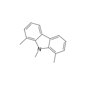 Cc1cccc2c3cccc(C)c3n(C)c12